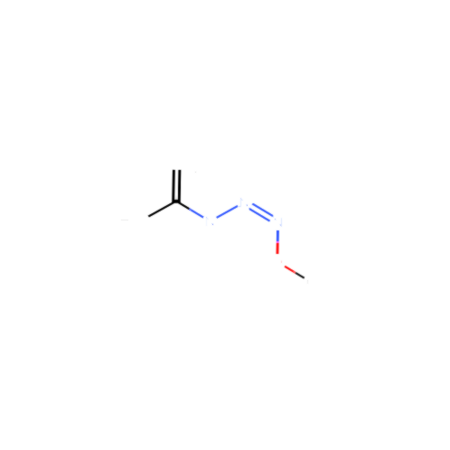 C=C(C)N/N=N\OC(F)(F)F